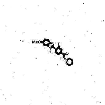 COc1ccc2nc(-c3ccc(C(=O)NN4CCCCC4)cc3F)[nH]c2c1